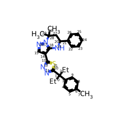 CCC(CC)(c1ccc(C)cc1)c1nnc(-c2cnn3c2NC(c2ccccc2)CC3(C)C)s1